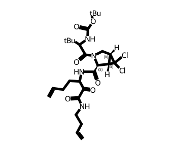 C=CCCNC(=O)C(=O)C(CCC=C)NC(=O)[C@@H]1[C@@H]2[C@H](CN1C(=O)C(NC(=O)OC(C)(C)C)C(C)(C)C)C2(Cl)Cl